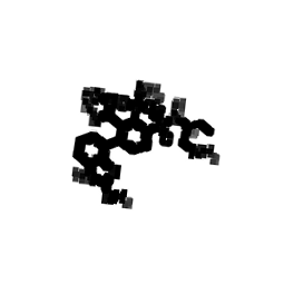 CC[C@@H](CN)NS(=O)(=O)c1ccc(-c2cccc3[nH]c(N)nc23)c(-c2nn[nH]n2)c1S(N)(=O)=O